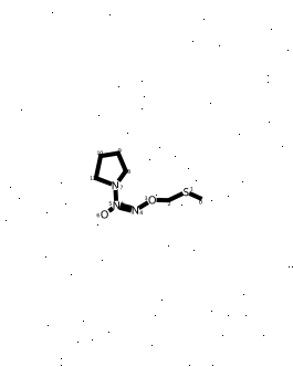 CSCO/N=[N+](/[O-])N1CCCC1